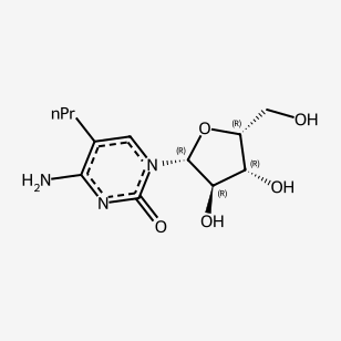 CCCc1cn([C@@H]2O[C@H](CO)[C@H](O)[C@H]2O)c(=O)nc1N